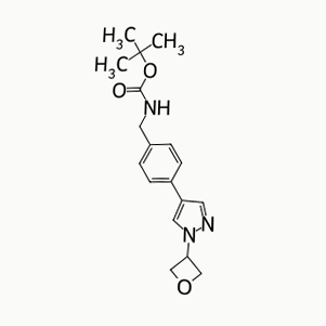 CC(C)(C)OC(=O)NCc1ccc(-c2cnn(C3COC3)c2)cc1